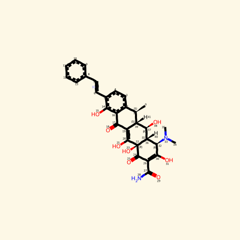 C[C@@H]1c2ccc(/C=C/c3ccccc3)c(O)c2C(=O)C2=C(O)[C@@]3(O)C(=O)C(C(N)=O)=C(O)[C@H](N(C)C)[C@H]3[C@H](O)[C@H]21